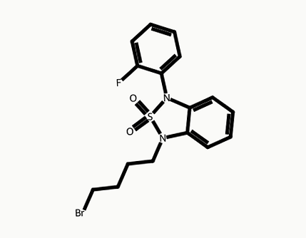 O=S1(=O)N(CCCCBr)c2ccccc2N1c1ccccc1F